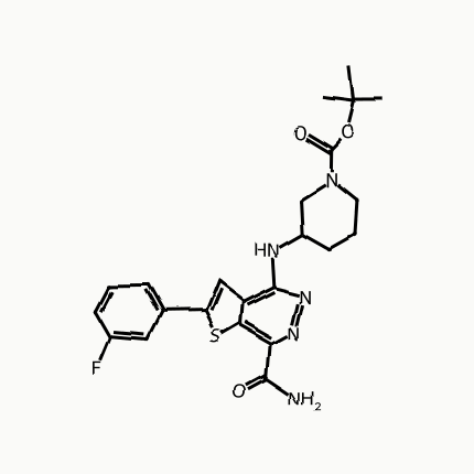 CC(C)(C)OC(=O)N1CCCC(Nc2nnc(C(N)=O)c3sc(-c4cccc(F)c4)cc23)C1